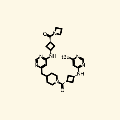 CC(C)(C)c1cc(N[C@H]2C[C@@H](C(=O)N3CCC(Cc4cc(N[C@H]5C[C@@H](C(=O)N6CCC6)C5)ncn4)CC3)C2)ncn1